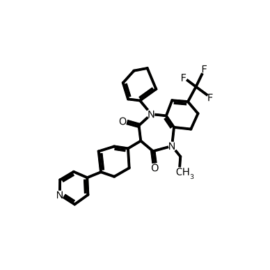 CCN1C(=O)C(C2=CC=C(c3ccncc3)CC2)C(=O)N(C2=CCCC=C2)C2=C1CCC(C(F)(F)F)=C2